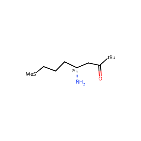 CSCCC[C@@H](N)CC(=O)C(C)(C)C